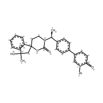 CC(C)n1cc(-c2ccc([C@H](C)N3CCC(CC(C)(C)O)(c4ccccc4)OC3=O)cc2)ccc1=O